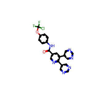 O=C(Nc1ccc(OC(F)(F)Cl)cc1)c1cnc(-c2cncnc2)c(-c2cncnc2)c1